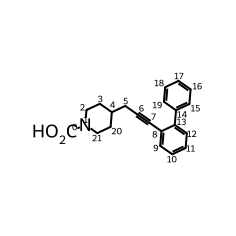 O=C(O)N1CCC(CC#Cc2ccccc2-c2ccccc2)CC1